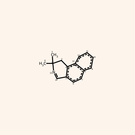 CC1(C)Cc2c(ccc3ccccc23)C=N1